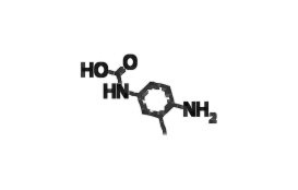 Cc1cc(NC(=O)O)ccc1N